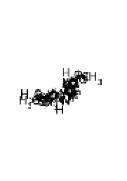 COC(=O)c1ccc2c(-c3nc(NC4CCCN(C(=O)OC(C)(C)C)C4)ncc3C(F)(F)F)c[nH]c2c1